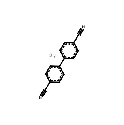 C.N#Cc1ccc(-c2ccc(C#N)cc2)cc1